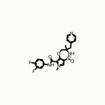 Cn1cc2c(c1C(=O)Nc1ccc(F)c(F)c1)OCC(C)(Cc1ccncc1)N[S+]2[O-]